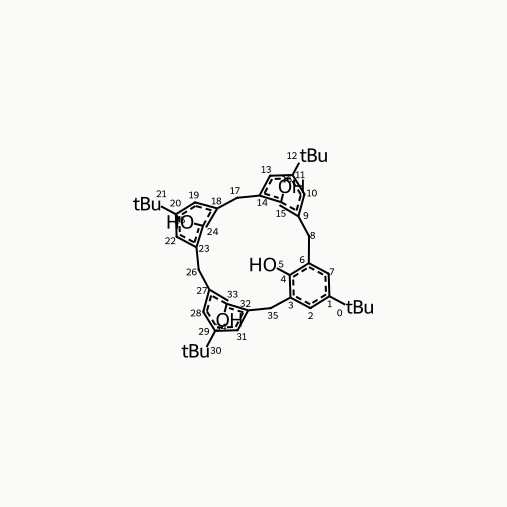 CC(C)(C)c1cc2c(O)c(c1)Cc1cc(C(C)(C)C)cc(c1O)Cc1cc(C(C)(C)C)cc(c1O)Cc1cc(C(C)(C)C)cc(c1O)C2